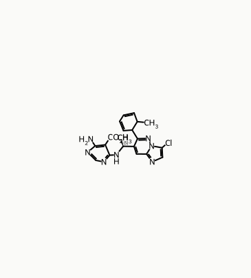 CC1C=CC=CC1c1nn2c(Cl)cnc2cc1[C@H](C)Nc1ncnc(N)c1C(=O)O